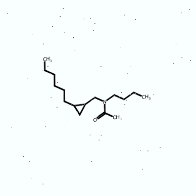 CCCCCCC1CC1CN(CCCC)C(C)=O